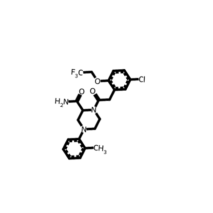 Cc1ccccc1N1CCN(C(=O)Cc2cc(Cl)ccc2OCC(F)(F)F)C(C(N)=O)C1